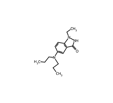 CCCN(CCC)c1ccc2c(c1)c(=O)[nH]n2CC